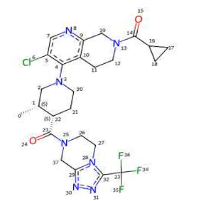 C[C@@H]1CN(c2c(Cl)cnc3c2CCN(C(=O)C2CC2)C3)CC[C@@H]1C(=O)N1CCn2c(nnc2C(F)(F)F)C1